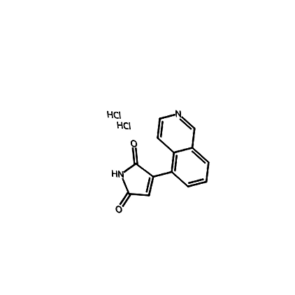 Cl.Cl.O=C1C=C(c2cccc3cnccc23)C(=O)N1